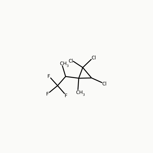 CC(C(F)(F)F)C1(C)C(Cl)C1(Cl)Cl